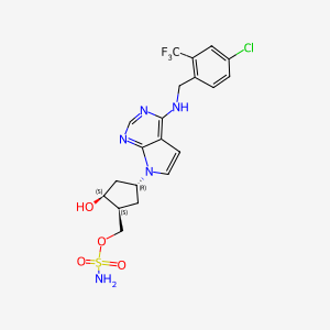 NS(=O)(=O)OC[C@@H]1C[C@@H](n2ccc3c(NCc4ccc(Cl)cc4C(F)(F)F)ncnc32)C[C@@H]1O